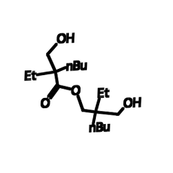 CCCCC(CC)(CO)COC(=O)C(CC)(CO)CCCC